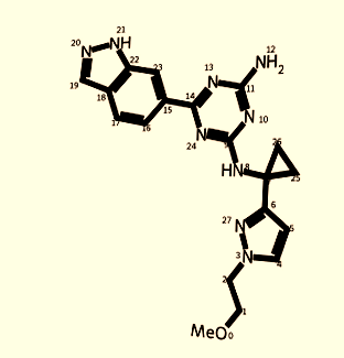 COCCn1ccc(C2(Nc3nc(N)nc(-c4ccc5cn[nH]c5c4)n3)CC2)n1